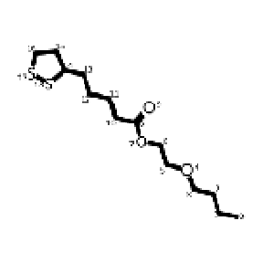 CCCCOCCOC(=O)CCCCC1CCSS1